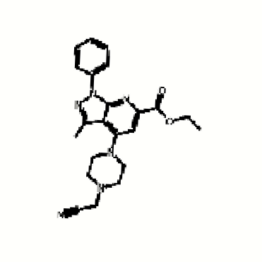 CCOC(=O)c1cc(N2CCN(CC#N)CC2)c2c(C)nn(-c3ccccc3)c2n1